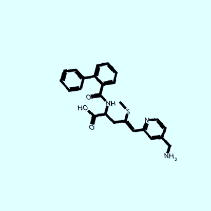 CSC(=Cc1cc(CN)ccn1)CC(NC(=O)c1ccccc1-c1ccccc1)C(=O)O